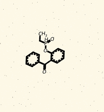 CC[PH](=O)Oc1ccccc1C(=O)c1ccccc1